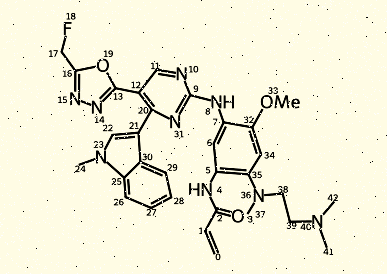 C=CC(=O)Nc1cc(Nc2ncc(-c3nnc(CF)o3)c(-c3cn(C)c4ccccc34)n2)c(OC)cc1N(C)CCN(C)C